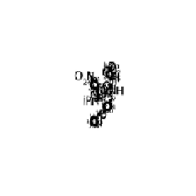 CC(C)CN(C[C@@H](O)[C@H](Cc1ccc(OCc2ccccn2)cc1)NC(=O)OC1CO[C@H]2OCC[C@@H]12)S(=O)(=O)c1ccc([N+](=O)[O-])cc1